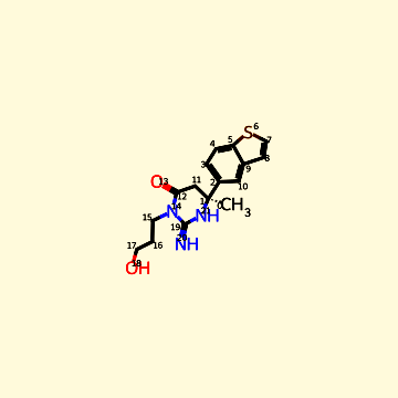 C[C@@]1(c2ccc3sccc3c2)CC(=O)N(CCCO)C(=N)N1